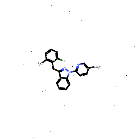 O=C(O)c1ccc(-n2nc(Cc3c(Cl)cccc3C(F)(F)F)c3ccccc32)nc1